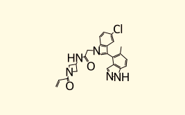 C=CC(=O)N1CC(NC(=O)Cn2cc(-c3c(C)ccc4[nH]ncc34)c3cc(Cl)ccc32)C1